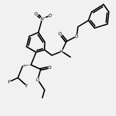 CCOC(=O)[C@H](CC(F)F)c1ccc([N+](=O)[O-])cc1CN(C)C(=O)OCc1ccccc1